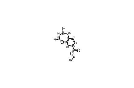 CCOC(=O)c1ccc2c(c1)OC(C)CNC2